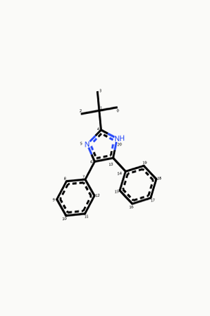 CC(C)(C)c1nc(-c2ccccc2)c(-c2ccccc2)[nH]1